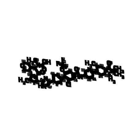 C[C@H]1C[C@@H](c2nc(-c3ccc(-c4c(Cl)cc(C(=O)Nc5ccc(N6CCN(C(=O)C(C)(C)C)C[C@H]6C)nc5)cc4OC(F)(F)F)cc3)c[nH]2)N(C(=O)[C@H](C2CCOCC2)N(C)C(=O)O)C1